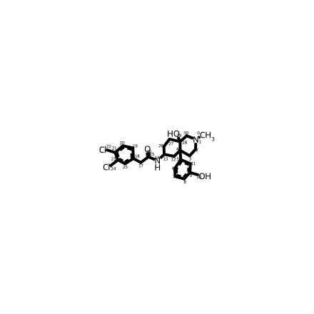 CN1CCC2(c3cccc(O)c3)CC(NC(=O)Cc3ccc(Cl)c(Cl)c3)CCC2(O)C1